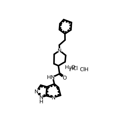 Cl.Cl.O.O=C(Nc1ccnc2[nH]ncc12)C1CCN(CCc2ccccc2)CC1